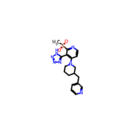 CS(=O)(=O)c1nccc(N2CCCC(Cc3cccnc3)C2)c1-c1nnn[nH]1